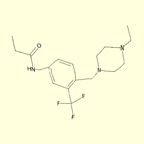 CCC(=O)Nc1ccc(CN2CCN(CC)CC2)c(C(F)(F)F)c1